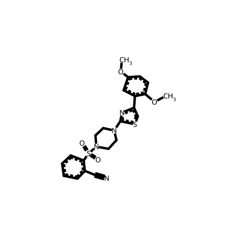 COc1ccc(OC)c(-c2csc(N3CCN(S(=O)(=O)c4ccccc4C#N)CC3)n2)c1